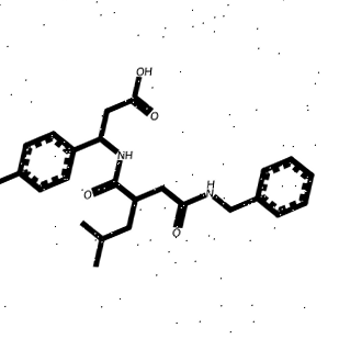 COc1ccc(C(CC(=O)O)NC(=O)C(CC(=O)NCc2ccccc2)CC(C)C)cc1